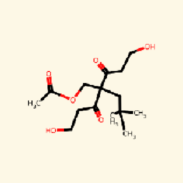 CC(=O)OCC(CC(C)(C)C)(C(=O)CCO)C(=O)CCO